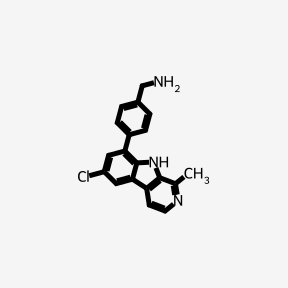 Cc1nccc2c1[nH]c1c(-c3ccc(CN)cc3)cc(Cl)cc12